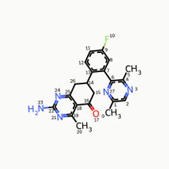 Cc1cnc(C)c(-c2cc(F)ccc2C2CC(=O)c3c(C)nc(N)nc3C2)n1